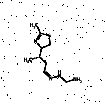 CC1=NC([C@@H](C)C/C=N\NCN)CS1